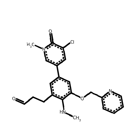 CNc1c(CCC=O)cc(-c2cc(Cl)c(=O)n(C)c2)cc1OCc1ccccn1